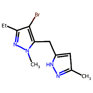 CCc1nn(C)c(Cc2cc(C)n[nH]2)c1Br